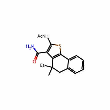 CCC1(C)Cc2ccccc2-c2sc(NC(C)=O)c(C(N)=O)c21